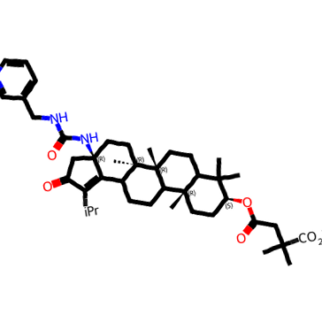 CC(C)C1=C2C3CCC4[C@@]5(C)CC[C@H](OC(=O)CC(C)(C)C(=O)O)C(C)(C)C5CC[C@@]4(C)[C@]3(C)CC[C@@]2(NC(=O)NCc2cccnc2)CC1=O